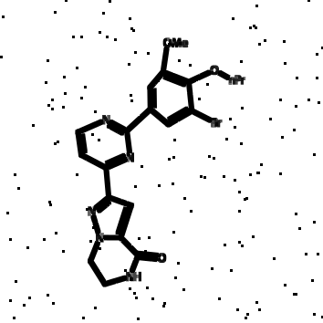 CCCOc1c(Br)cc(-c2nccc(-c3cc4n(n3)CCNC4=O)n2)cc1OC